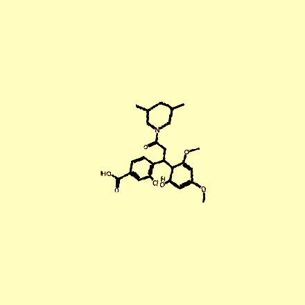 COC1=CC(O)C(C(CC(=O)N2CC(C)CC(C)C2)c2ccc(C(=O)O)cc2Cl)C(OC)=C1